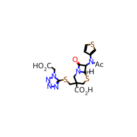 CC(=O)N(c1ccsc1)C1C(=O)N2CC(CSc3nnnn3CC(=O)O)(C(=O)O)CS[C@H]12